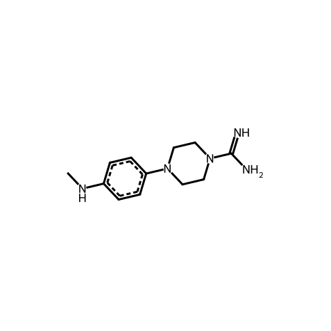 CNc1ccc(N2CCN(C(=N)N)CC2)cc1